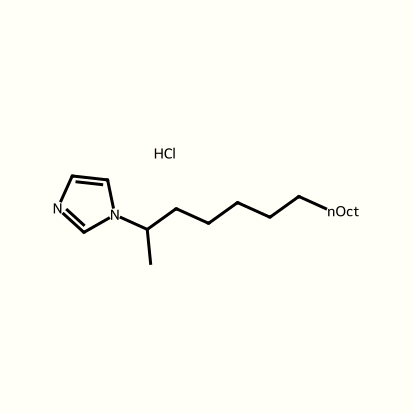 CCCCCCCCCCCCCC(C)n1ccnc1.Cl